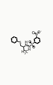 CCC(CSc1ccccc1)NNS(=O)(=O)c1cccc([N+](=O)[O-])c1